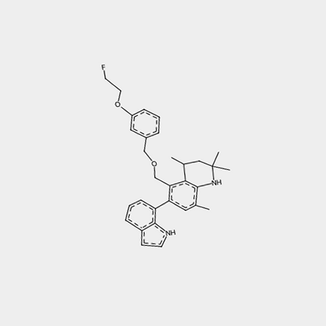 Cc1cc(-c2cccc3cc[nH]c23)c(COCc2cccc(OCCF)c2)c2c1NC(C)(C)CC2C